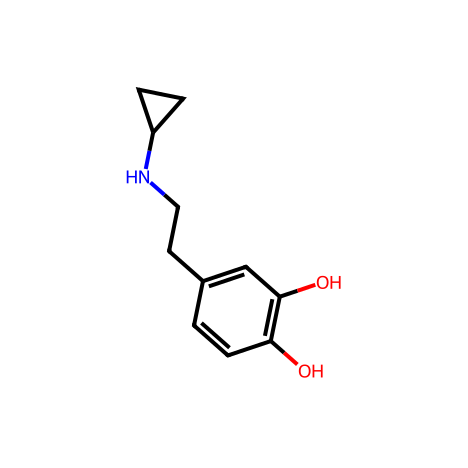 Oc1ccc(CCNC2CC2)cc1O